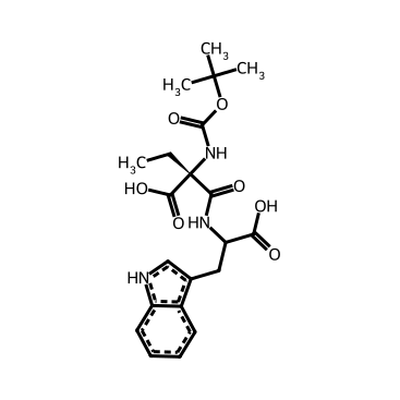 CC[C@](NC(=O)OC(C)(C)C)(C(=O)O)C(=O)NC(Cc1c[nH]c2ccccc12)C(=O)O